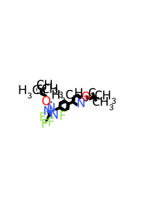 Cc1cc(OCC(C)(C)C)ncc1-c1ccc(-c2nc(C(F)(F)F)nn2COCC[Si](C)(C)C)c(F)c1